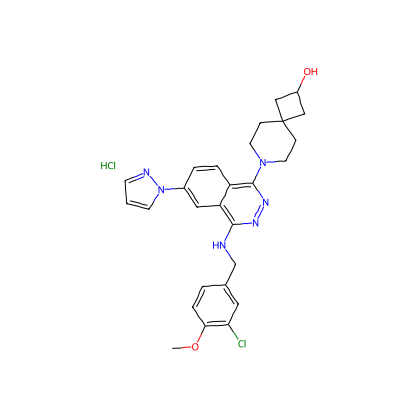 COc1ccc(CNc2nnc(N3CCC4(CC3)CC(O)C4)c3ccc(-n4cccn4)cc23)cc1Cl.Cl